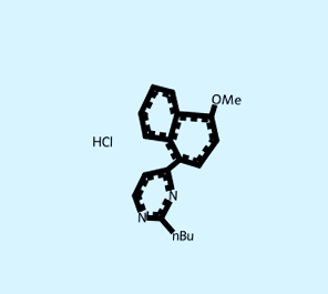 CCCCc1nccc(-c2ccc(OC)c3ccccc23)n1.Cl